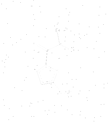 CCC(C#N)C(=O)c1ccc(C(=O)O)s1